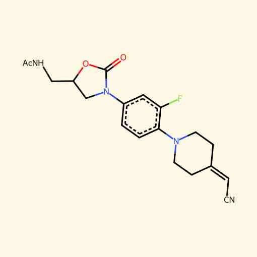 CC(=O)NCC1CN(c2ccc(N3CCC(=CC#N)CC3)c(F)c2)C(=O)O1